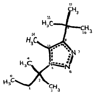 CCC(C)(C)n1nnc(C(C)(C)C)c1C